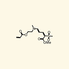 C=CC(=O)OCCN(C)/C=C/C=C(\C(=O)OC)S(C)(=O)=O